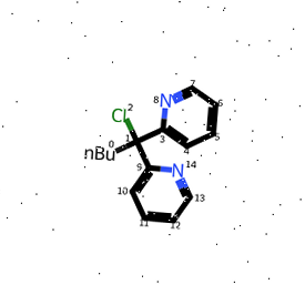 CCCCC(Cl)(c1ccccn1)c1ccccn1